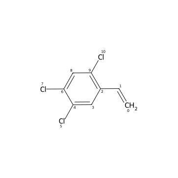 C=Cc1cc(Cl)c(Cl)cc1Cl